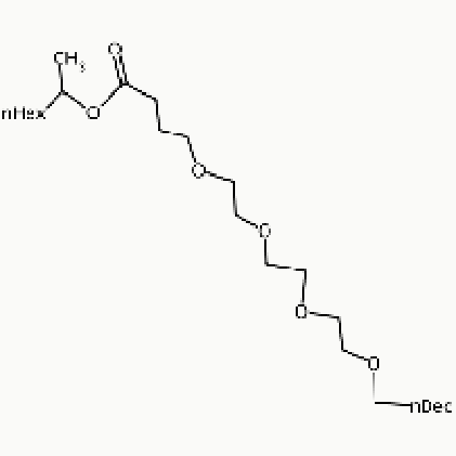 CCCCCCCCCCCOCCOCCOCCOCCCC(=O)OC(C)CCCCCC